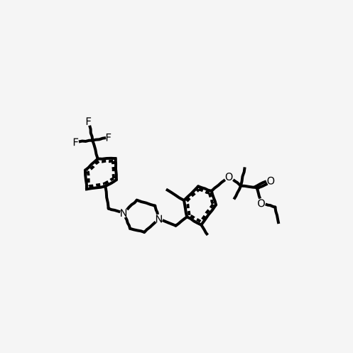 CCOC(=O)C(C)(C)Oc1cc(C)c(CN2CCN(Cc3ccc(C(F)(F)F)cc3)CC2)c(C)c1